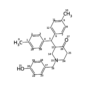 Cc1ccc(C(c2ccc(C)cc2)C2CN(Cc3ccc(O)cc3)CCC2=O)cc1